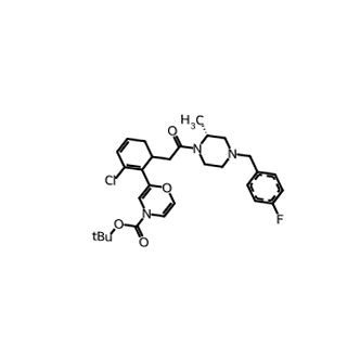 C[C@@H]1CN(Cc2ccc(F)cc2)CCN1C(=O)CC1CC=CC(Cl)=C1C1=CN(C(=O)OC(C)(C)C)C=CO1